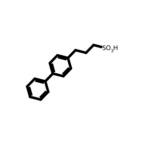 O=S(=O)(O)CCCc1ccc(-c2ccccc2)cc1